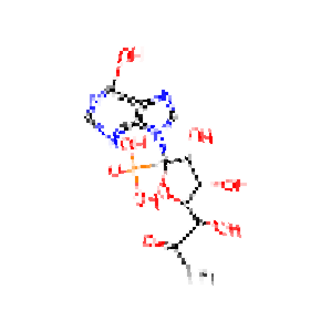 CCCC(=O)C(O)[C@H]1O[C@](n2cnc3c(O)ncnc32)(P(=O)(O)O)[C@H](O)[C@@H]1O